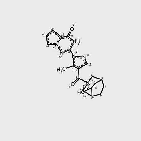 Cc1c(C(=O)N2CC3CCC(C2)C(O)(C(F)(F)F)C3)cnn1-c1nn2cccc2c(=O)[nH]1